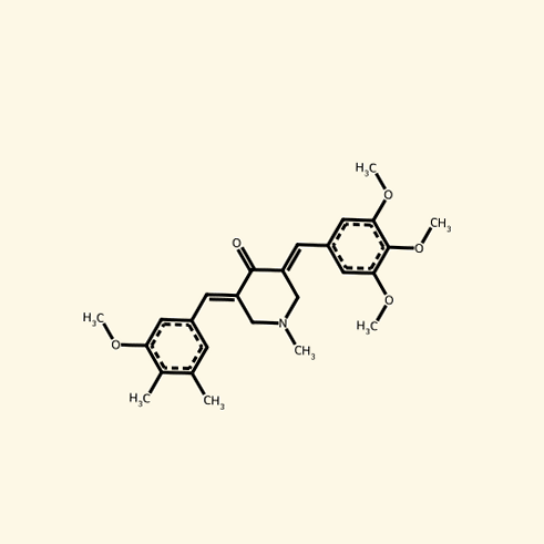 COc1cc(/C=C2\CN(C)C/C(=C\c3cc(OC)c(OC)c(OC)c3)C2=O)cc(C)c1C